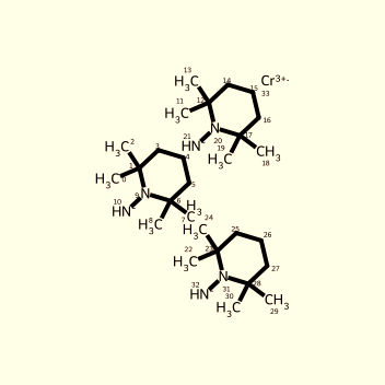 CC1(C)CCCC(C)(C)N1[NH-].CC1(C)CCCC(C)(C)N1[NH-].CC1(C)CCCC(C)(C)N1[NH-].[Cr+3]